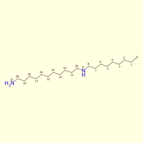 CCCCCCCCCNCCCCCCCCCCCN